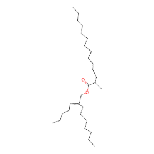 CCCCCCCCCCCCC(C)C(=O)OCC(CCCCC)CCCCCCC